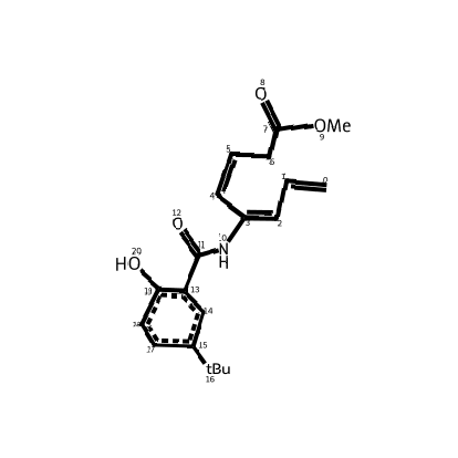 C=C/C=C(\C=C/CC(=O)OC)NC(=O)c1cc(C(C)(C)C)ccc1O